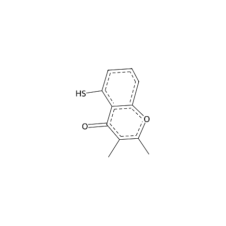 Cc1oc2cccc(S)c2c(=O)c1C